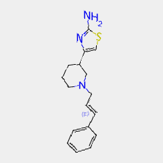 Nc1nc(C2CCCN(C/C=C/c3ccccc3)C2)cs1